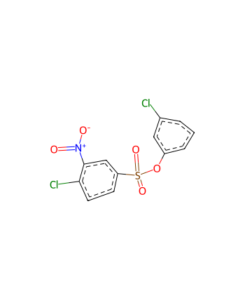 O=[N+]([O-])c1cc(S(=O)(=O)Oc2cccc(Cl)c2)ccc1Cl